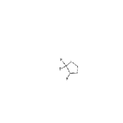 FC1CC[CH]C1(F)F